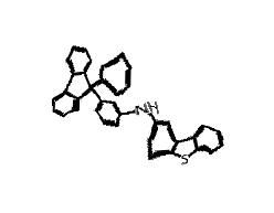 c1ccc(C2(c3cccc(Nc4ccc5sc6ccccc6c5c4)c3)c3ccccc3-c3ccccc32)cc1